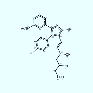 CC(=O)Nc1cccc(-c2nc(C(C)C)n(/C=C/C(O)CC(O)CC(=O)O)c2-c2ccc(F)cc2)c1